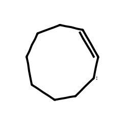 [C]1/C=C\CCCCCC1